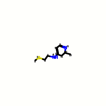 CSCCNC1=CC=NC(C)C1